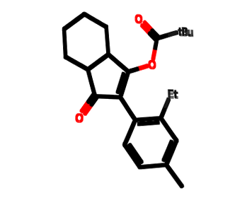 CCc1cc(C)ccc1C1=C(OC(=O)C(C)(C)C)C2CCCCC2C1=O